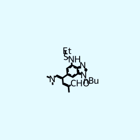 CCCCn1cnc2c(NSCC)cc(C(/C=C(/C)C=O)=C/N(C)C)cc21